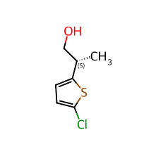 C[C@@H](CO)c1ccc(Cl)s1